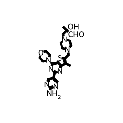 Cc1c(CN2CCN(CC(C)(O)C=O)CC2)sc2c(N3CCOCC3)nc(-c3cnc(N)nc3)nc12